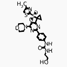 Cc1csc(S(=O)(=O)C2(c3cc(N4CCOCC4)nc(-c4ccc(NC(=O)NCCO)cc4)n3)CC2)n1